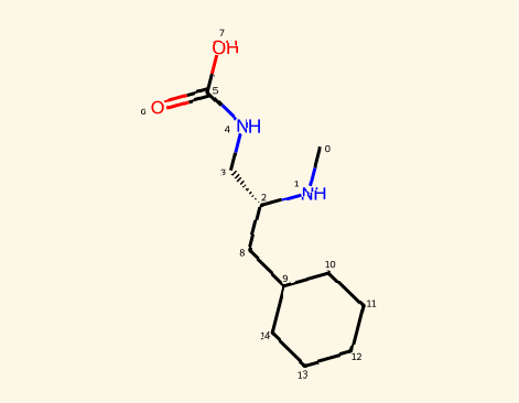 CN[C@@H](CNC(=O)O)CC1CCCCC1